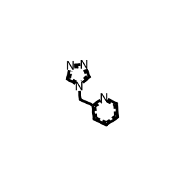 c1ccc(Cn2cnnc2)nc1